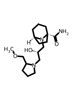 COCC1CCCN1C[C@H](O)CN1[C@@H]2C[CH]C[C@@]1(C(N)=O)CC2